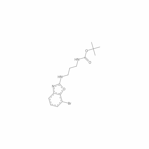 CC(C)(C)OC(=O)NCCCNc1nc2cccc(Br)c2o1